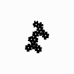 CC1(C)c2ccccc2-c2cc3c(-c4cccc(-c5ccc(-c6nc(-c7ccccc7)nc(-c7ccccc7)n6)c6ccccc56)c4)cc(-c4ccccc4)nc3cc21